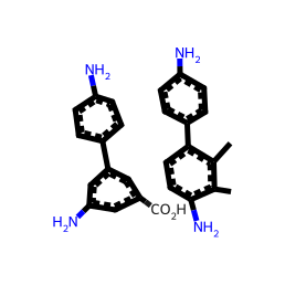 Cc1c(N)ccc(-c2ccc(N)cc2)c1C.Nc1ccc(-c2cc(N)cc(C(=O)O)c2)cc1